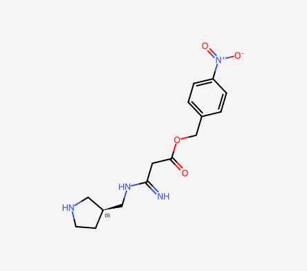 N=C(CC(=O)OCc1ccc([N+](=O)[O-])cc1)NC[C@H]1CCNC1